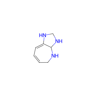 C1=CCNC2NCNC2=C1